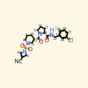 N#CC1CN(S(=O)(=O)N2CCC[C@H](C(=O)N3CCC[C@@H]3C(=O)NCc3cc(Cl)ccc3F)C2)C1